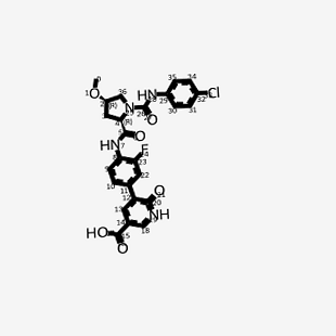 CO[C@@H]1C[C@H](C(=O)Nc2ccc(-c3cc(C(=O)O)c[nH]c3=O)cc2F)N(C(=O)Nc2ccc(Cl)cc2)C1